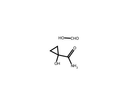 NC(=O)C1(O)CC1.O=CO